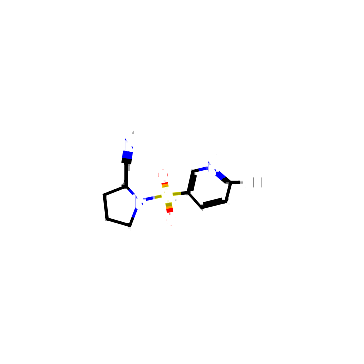 Cc1ccc(S(=O)(=O)N2CCCC2C#N)cn1